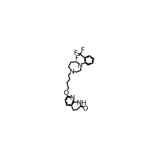 O=C1CCc2ccc(OCCCCN3CCCN(c4ccccc4C(F)(F)F)CC3)nc2N1